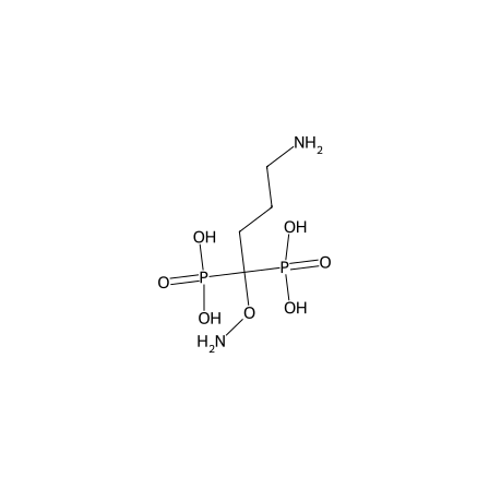 NCCCC(ON)(P(=O)(O)O)P(=O)(O)O